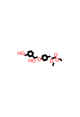 CCOC(=O)[C@@H](Cc1ccc(OC[C@@H](O)c2cccc(CO)c2)cc1)OCC